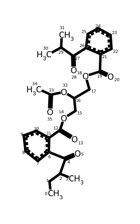 CCC(C)C(=O)c1ccccc1C(=O)OCC(COC(=O)c1ccccc1C(=O)C(C)C)OC(C)=O